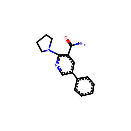 NC(=O)c1cc(-c2ccccc2)cnc1N1CCCC1